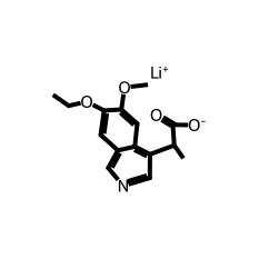 CCOc1cc2cncc(C(C)C(=O)[O-])c2cc1OC.[Li+]